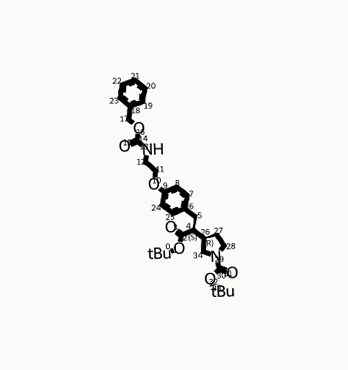 CC(C)(C)OC(=O)[C@@H](Cc1ccc(OCCNC(=O)OCc2ccccc2)cc1)[C@H]1CCN(C(=O)OC(C)(C)C)C1